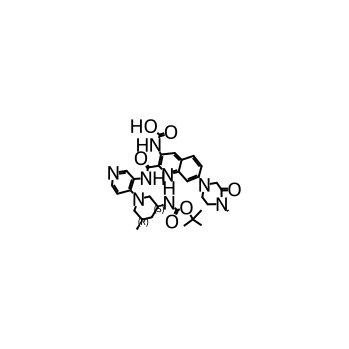 C[C@@H]1C[C@H](NC(=O)OC(C)(C)C)CN(c2ccncc2NC(=O)c2nc3cc(N4CCN(C)C(=O)C4)ccc3cc2NC(=O)O)C1